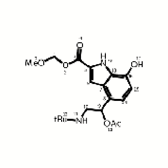 COCOC(=O)c1cc2c(C(CNC(C)(C)C)OC(C)=O)ccc(O)c2[nH]1